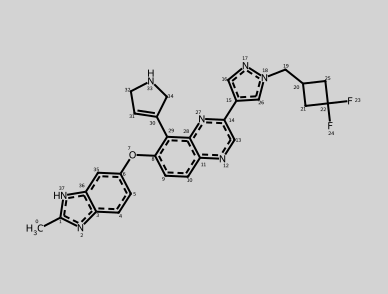 Cc1nc2ccc(Oc3ccc4ncc(-c5cnn(CC6CC(F)(F)C6)c5)nc4c3C3=CCNC3)cc2[nH]1